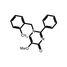 COc1cn(Cc2ccccc2C)c(-c2ccccc2)nc1=O